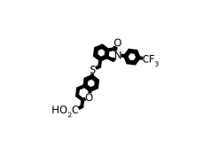 O=C(O)CC1CCc2cc(SCc3cccc4c3CN(c3ccc(C(F)(F)F)cc3)C4=O)ccc2O1